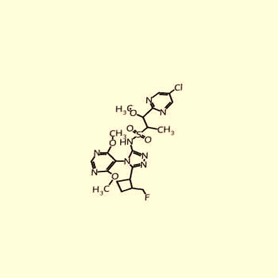 COc1ncnc(OC)c1-n1c(NS(=O)(=O)C(C)C(OC)c2ncc(Cl)cn2)nnc1C1CCC1CF